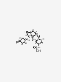 Cc1cc(CC(=O)O)cc(Br)c1Oc1ccc2[nH]cc(Cc3ccc(F)cc3)c2c1